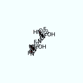 C#Cc1c(F)ccc2cc(O)cc(-c3ccc4c(N5CC6CC5C(=O)N6)nc(OCC56CCCC5N(Cc5cc(F)c(C#C)c7c(-c8ccc9c(N%10CC%11CCC(C%10)N%11C(=O)C%10CCC(F)(F)CC%10)nc(OCC%10%11CCCN%10CC(F)C%11)nc9c8F)cc(O)cc57)CCC6)nc4c3F)c12